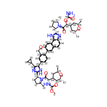 COC(=O)N[C@H](C(=O)N1[C@@H](C)CC[C@H]1c1nc(C2CC2)c(-c2ccc3c(c2)COc2cc4c(ccc5nc([C@@H]6CC[C@H](C)N6C(=O)[C@@H](OC(N)=O)C6C[C@@H](C)O[C@H](C)C6)[nH]c54)cc2-3)[nH]1)C1C[C@@H](C)O[C@H](C)C1